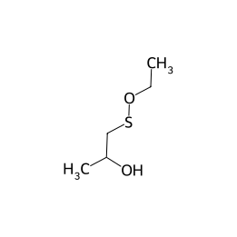 CCOSCC(C)O